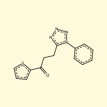 O=C(CCc1nnnn1-c1ccccc1)c1cccs1